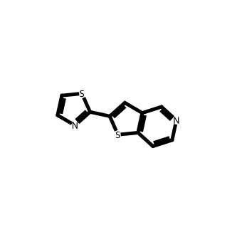 c1cc2sc(-c3nccs3)cc2cn1